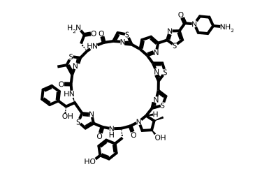 Cc1sc2nc1C(=O)N[C@@H]([C@H](O)c1ccccc1)c1nc(cs1)C(=O)N[C@@H](Cc1ccc(O)cc1)C(=O)N1C[C@H](O)[C@H](C)[C@H]1c1nc(cs1)-c1nc(cs1)-c1nc(-c3nc(C(=O)N4CCC(N)CC4)cs3)ccc1-c1nc(cs1)C(=O)N[C@H]2CC(N)=O